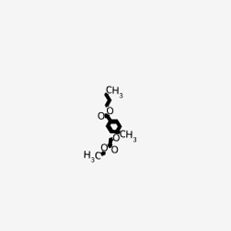 CCCCOC(=O)C1=CCC(C)(OCC(=O)OCC)C=C1